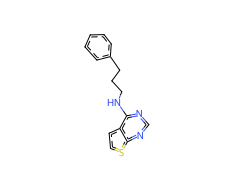 c1ccc(CCCNc2ncnc3sccc23)cc1